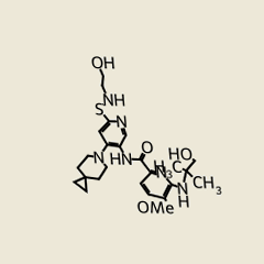 COc1ccc(C(=O)Nc2cnc(SNCCO)cc2N2CCC3(CC2)CC3)nc1NC(C)(C)CO